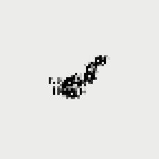 CN1CCC(N2CCc3cc(Nc4ncc5cc(C#N)c(=O)n(C6CCCC6(C)O)c5n4)ccc3C2)C1